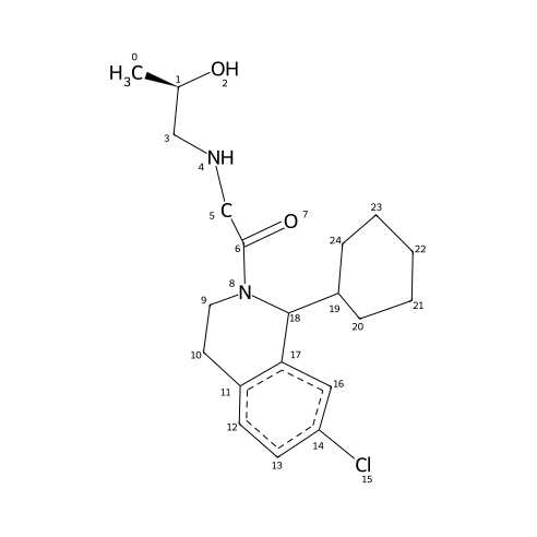 C[C@@H](O)CNCC(=O)N1CCc2ccc(Cl)cc2C1C1CCCCC1